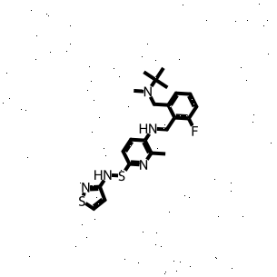 Cc1nc(SNc2ccsn2)ccc1NCc1c(F)cccc1CN(C)C(C)(C)C